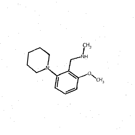 CNCc1c(OC)cccc1N1CCCCC1